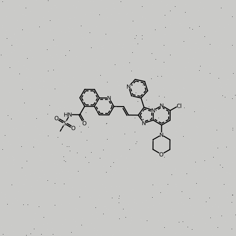 CS(=O)(=O)NC(=O)c1cccc2nc(C=Cc3nc4c(N5CCOCC5)cc(Cl)nn4c3-c3cccnc3)ccc12